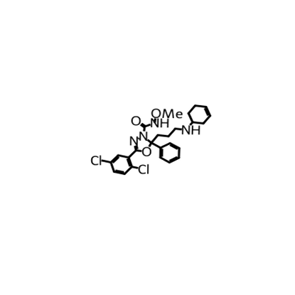 CONC(=O)N1N=C(c2cc(Cl)ccc2Cl)OC1(CCCNC1CC=CCC1)c1ccccc1